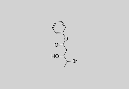 CC(Br)C(O)CC(=O)Oc1ccccc1